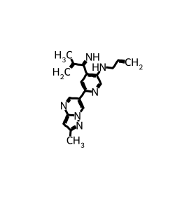 C=CCNc1cnc(-c2cnc3cc(C)nn3c2)cc1C(=N)C(=C)C